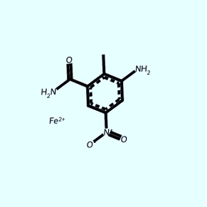 Cc1c(N)cc([N+](=O)[O-])cc1C(N)=O.[Fe+2]